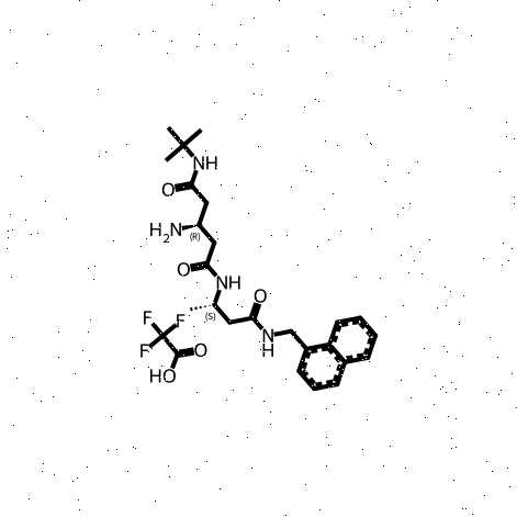 C[C@@H](CC(=O)NCc1cccc2ccccc12)NC(=O)C[C@@H](N)CC(=O)NC(C)(C)C.O=C(O)C(F)(F)F